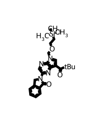 CC(C)(C)C(=O)c1cn(COCC[Si](C)(C)C)c2ncc(N3Cc4ccccc4C3=O)nc12